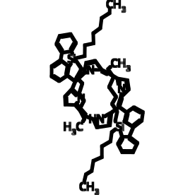 CCCCCCCC[Si]1(CCCCCCCC)c2ccccc2-c2cccc(-c3c4nc(cc5ccc([nH]5)c(-c5cccc6c5[Si](CCCCCCCC)(CCCCCCCC)c5ccccc5-6)c5nc(cc6ccc3[nH]6)C=C5)C=C4)c21